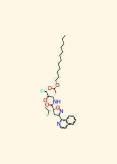 CCCCCCCCCCCCOC(=O)C[C@H](NC(=O)[C@]1(C(C)C)CC(c2nccc3ccccc23)=NO1)C(=O)CF